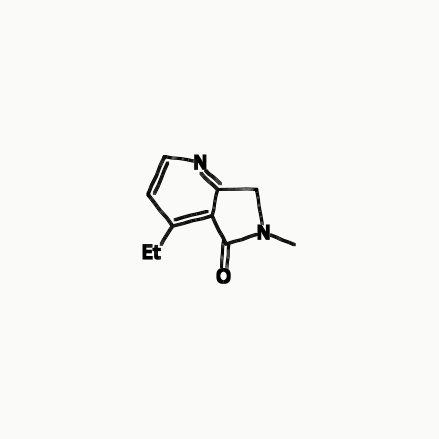 CCc1ccnc2c1C(=O)N(C)C2